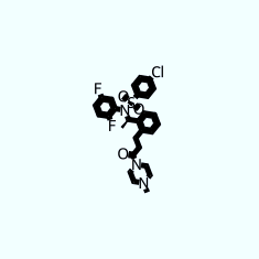 C[C@H](c1ccccc1CCC(=O)N1CCN(C)CC1)N(c1cc(F)ccc1F)S(=O)(=O)c1ccc(Cl)cc1